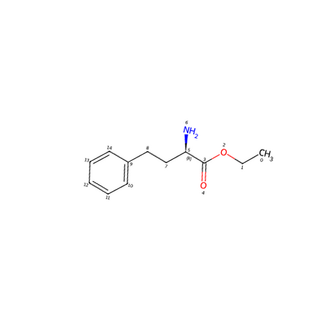 CCOC(=O)[C@H](N)CCc1ccccc1